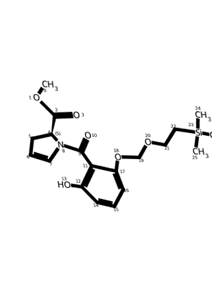 COC(=O)[C@@H]1CC=CN1C(=O)c1c(O)cccc1OCOCC[Si](C)(C)C